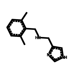 Cc1cccc(C)c1CNCc1c[nH]cn1